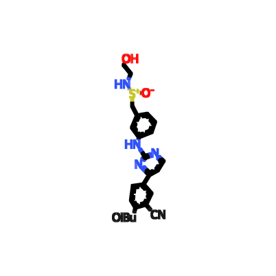 CC(C)COc1ccc(-c2ccnc(Nc3cccc(C[S+]([O-])NCCO)c3)n2)cc1C#N